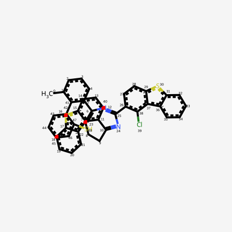 Cc1cccc(C2=C/CC/C(c3cccc4sc5ccccc5c34)=N/C(c3ccc4sc5ccccc5c4c3Cl)=N\2)c1-c1ccccc1S